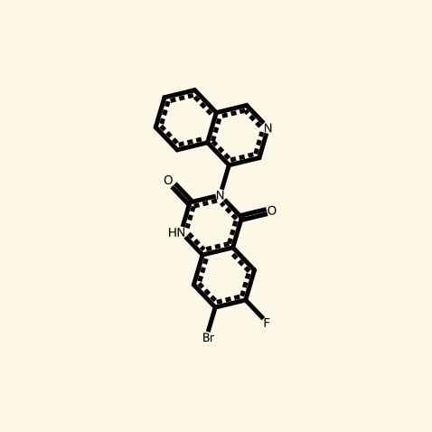 O=c1[nH]c2cc(Br)c(F)cc2c(=O)n1-c1cncc2ccccc12